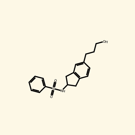 O=S(=O)(NC1Cc2ccc(CCCO)cc2C1)c1ccccc1